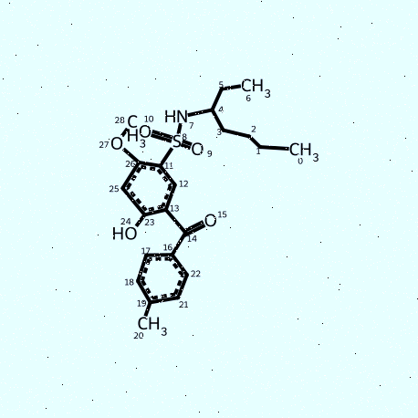 CCCCC(CC)NS(=O)(=O)c1cc(C(=O)c2ccc(C)cc2)c(O)cc1OC